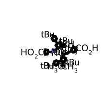 CN(C)c1c(-c2ccc(C(C)(C)C)cc2)cc(C(O)C#Cc2ccc(C(=O)O)cc2)cc1C(C)(C)C.CN(C)c1cc(C(O)/C=C/c2ccc(C(=O)O)cc2)cc(-c2ccc(C(C)(C)C)cc2)c1C(C)(C)C